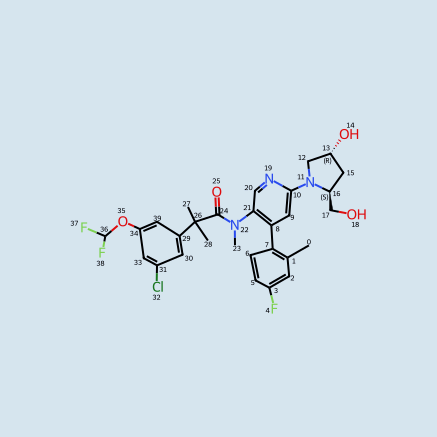 Cc1cc(F)ccc1-c1cc(N2C[C@H](O)C[C@H]2CO)ncc1N(C)C(=O)C(C)(C)c1cc(Cl)cc(OC(F)F)c1